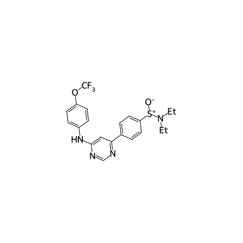 CCN(CC)[S+]([O-])c1ccc(-c2cc(Nc3ccc(OC(F)(F)F)cc3)ncn2)cc1